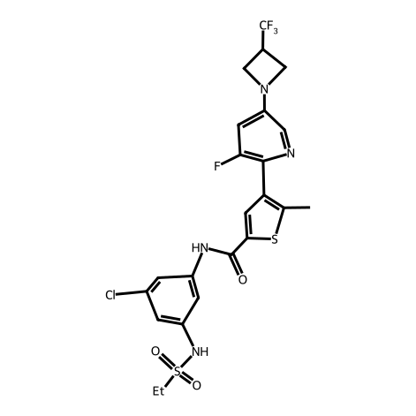 CCS(=O)(=O)Nc1cc(Cl)cc(NC(=O)c2cc(-c3ncc(N4CC(C(F)(F)F)C4)cc3F)c(C)s2)c1